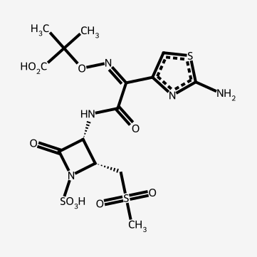 CC(C)(O/N=C(\C(=O)N[C@H]1C(=O)N(S(=O)(=O)O)[C@H]1CS(C)(=O)=O)c1csc(N)n1)C(=O)O